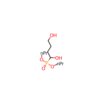 CCCOP(=O)(OCCC)C(O)CCCO